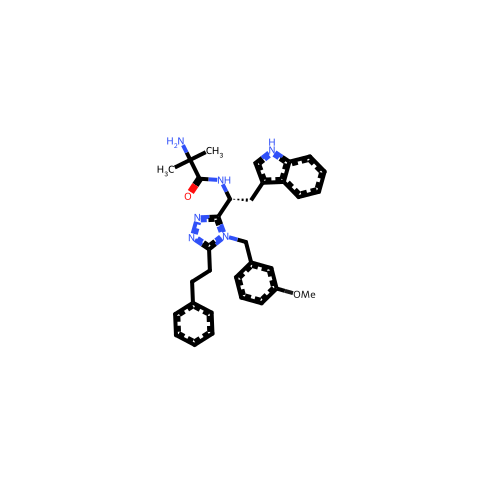 COc1cccc(Cn2c(CCc3ccccc3)nnc2[C@@H](Cc2c[nH]c3ccccc23)NC(=O)C(C)(C)N)c1